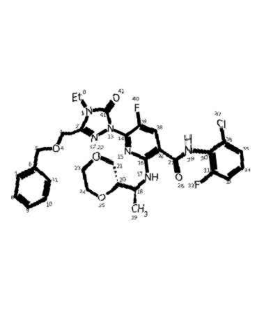 CCn1c(COCc2ccccc2)nn(-c2nc(N[C@@H](C)[C@H]3COCCO3)c(C(=O)Nc3c(F)cccc3Cl)cc2F)c1=O